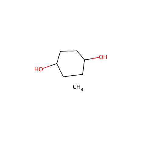 C.OC1CCC(O)CC1